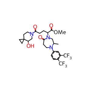 COC(=O)C(CCC(=O)N1CCC2(CC2)C(O)C1)N1CC(C)N(c2ccc(C(F)(F)F)c(C(F)(F)F)c2)CCC1=O